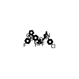 Cc1cc(COC(c2ccc(C3(S(=O)(=O)c4ccc(F)cc4)CCCC3)cc2)(C(F)(F)F)C(F)(F)F)n(-c2ccc(Cl)cc2)n1